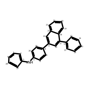 c1ccc(Nc2ccc(-c3cc(-c4ccccc4)c4ccccc4c3)cc2)cc1